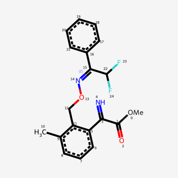 COC(=O)C(=N)c1cccc(C)c1CO/N=C(/c1ccccc1)C(F)F